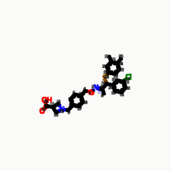 C/C(=N\OCc1ccc(CN2CC(C(=O)O)C2)cc1)C(Sc1ccc(C)c(C)c1)c1cccc(Cl)c1